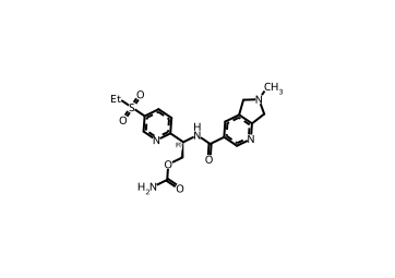 CCS(=O)(=O)c1ccc([C@H](COC(N)=O)NC(=O)c2cnc3c(c2)CN(C)C3)nc1